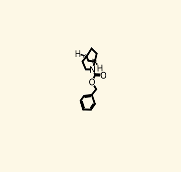 O=C(OCc1ccccc1)N1CC[C@@H]2CC[C@H]1C2